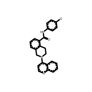 O=C(Nc1ccc(Cl)cc1)c1cccc2c1CCN(c1ccnc3ccccc13)C2